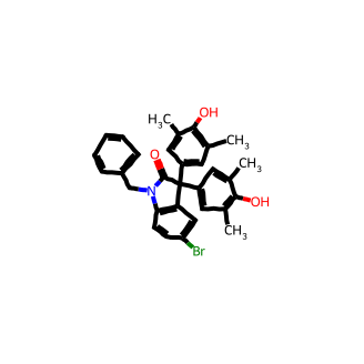 Cc1cc(C2(c3cc(C)c(O)c(C)c3)C(=O)N(Cc3ccccc3)c3ccc(Br)cc32)cc(C)c1O